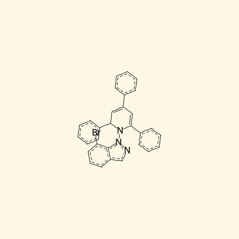 Brc1cccc2cnn(N3C(c4ccccc4)=CC(c4ccccc4)=CC3c3ccccc3)c12